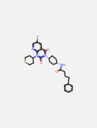 O=C(CCCc1ccccc1)N[C@H]1CC[C@@H](n2c(=O)c3cc(F)cnc3n(C3CCSCC3)c2=O)CC1